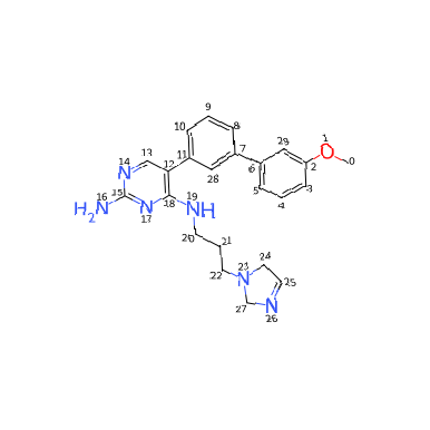 COc1cccc(-c2cccc(-c3cnc(N)nc3NCCCN3CC=NC3)c2)c1